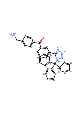 NCc1ccc(C(=O)c2cccc(-c3nnnn3C(c3ccccc3)(c3ccccc3)c3ccccc3)c2)cc1